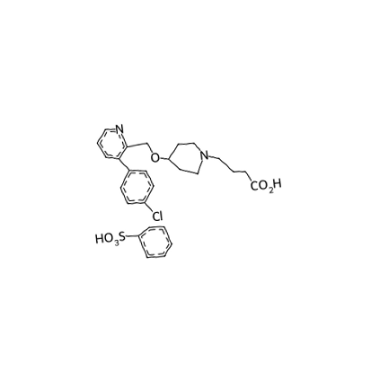 O=C(O)CCCN1CCC(OCc2ncccc2-c2ccc(Cl)cc2)CC1.O=S(=O)(O)c1ccccc1